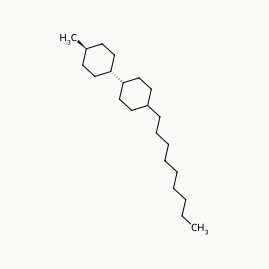 CCCCCCCCCC1CCC([C@H]2CC[C@H](C)CC2)CC1